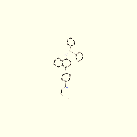 C/C=C\C(=N)c1ccc(-c2ccc(NC(c3ccccc3)c3ccccc3)c3ccccc23)cc1